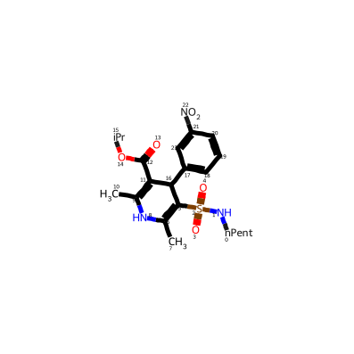 CCCCCNS(=O)(=O)C1=C(C)NC(C)=C(C(=O)OC(C)C)C1c1cccc([N+](=O)[O-])c1